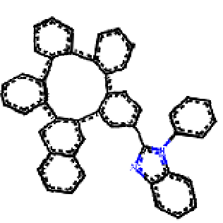 c1ccc(-n2c(-c3ccc4c5ccccc5c5ccccc5c5ccccc5c5cc6ccccc6cc5c4c3)nc3ccccc32)cc1